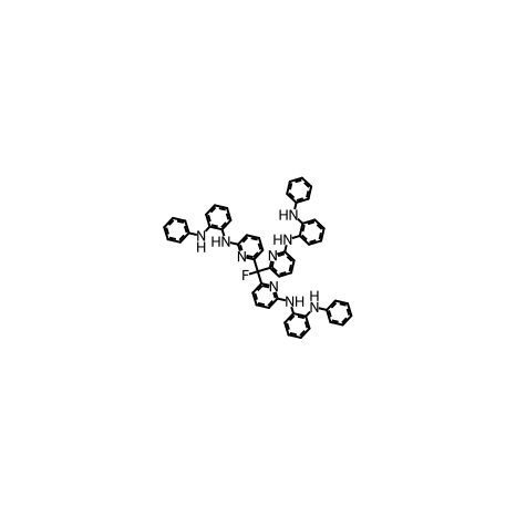 FC(c1cccc(Nc2ccccc2Nc2ccccc2)n1)(c1cccc(Nc2ccccc2Nc2ccccc2)n1)c1cccc(Nc2ccccc2Nc2ccccc2)n1